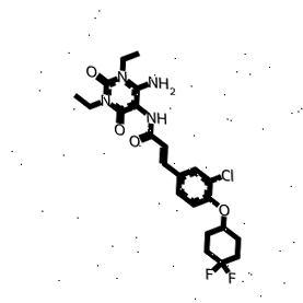 CCn1c(N)c(NC(=O)/C=C/c2ccc(OC3CCC(F)(F)CC3)c(Cl)c2)c(=O)n(CC)c1=O